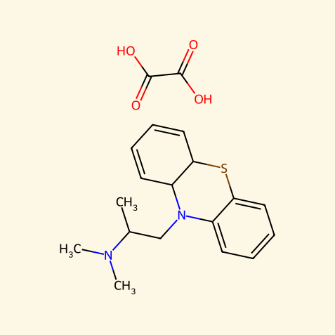 CC(CN1c2ccccc2SC2C=CC=CC21)N(C)C.O=C(O)C(=O)O